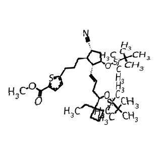 CCC1(C(C/C=C/[C@@H]2[C@@H](CCCc3ccc(C(=O)OC)s3)[C@H](C#N)C[C@H]2O[Si](C)(C)C(C)(C)C)O[Si](C)(C)C(C)(C)C)CCC1